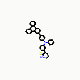 C1=Cc2c(sc3ccc(N(c4ccccc4)c4ccc(-c5ccc6c7ccccc7c7ccccc7c6c5)cc4)cc23)NC1